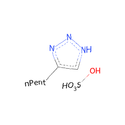 CCCCCc1c[nH]nn1.O=S(=O)(O)O